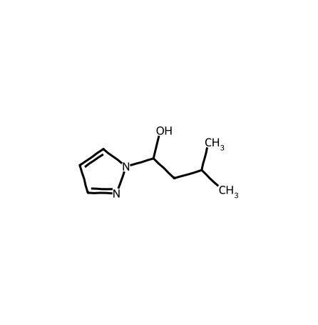 CC(C)CC(O)n1cccn1